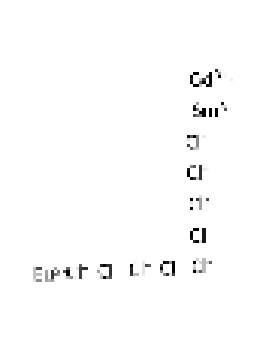 [Cl-].[Cl-].[Cl-].[Cl-].[Cl-].[Cl-].[Cl-].[Cl-].[Cl-].[Eu+3].[Gd+3].[Sm+3]